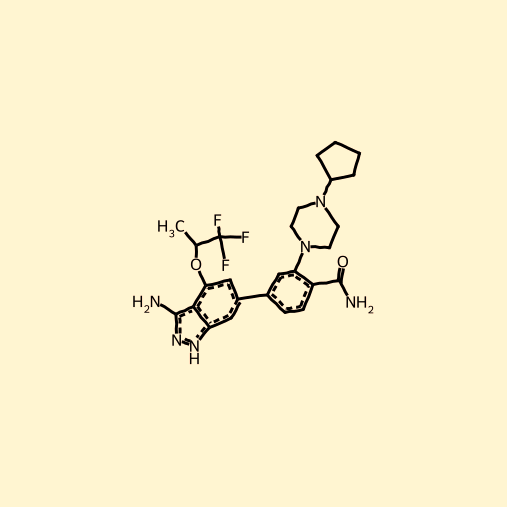 CC(Oc1cc(-c2ccc(C(N)=O)c(N3CCN(C4CCCC4)CC3)c2)cc2[nH]nc(N)c12)C(F)(F)F